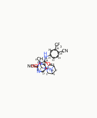 CC(O)(CN1CC2CC(C1)N2c1cnc(C#N)nc1)C(=O)Nc1ccc(C#N)c(C(F)(F)F)c1